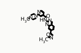 Cc1ncc(-c2ccc3cnc(NC(=O)c4ccnc(N5CCN(C)CC5)c4)nc3c2)o1